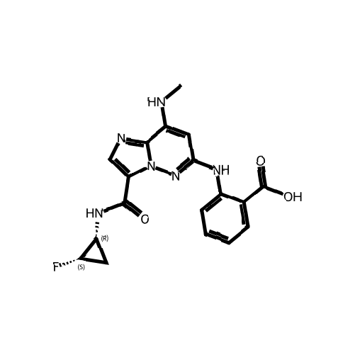 CNc1cc(Nc2ccccc2C(=O)O)nn2c(C(=O)N[C@@H]3C[C@@H]3F)cnc12